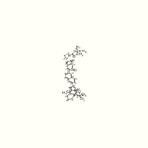 CC(C)(C)OC(=O)N1CCC[C@H]1c1nc2cc(-c3ccc4cc(-c5c[nH]c([C@@]6(C)CCCN6C(=O)OC(C)(C)C)n5)ccc4c3)c(Cl)cc2[nH]1